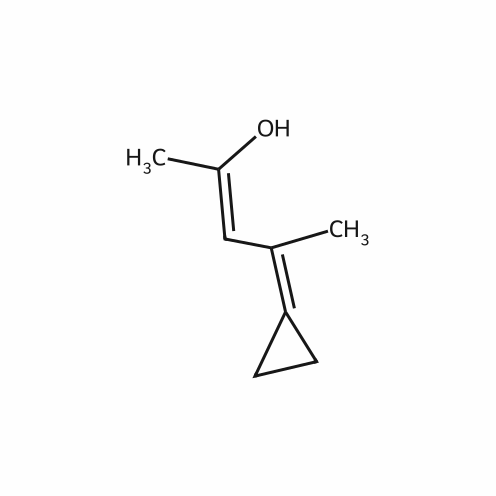 CC(/C=C(/C)O)=C1CC1